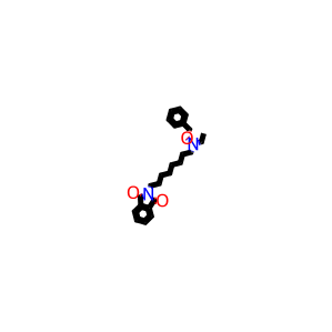 CCN(CCCCCCCCN1C(=O)c2ccccc2C1=O)OCc1ccccc1